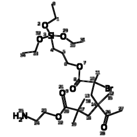 CCO[Si](CCCOC(=O)C(C)(Br)CC(C)(CC(C)(C)C(=O)OCCN)C(C)=O)(OCC)OCC